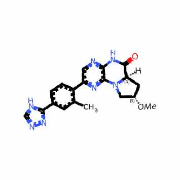 CO[C@H]1C[C@@H]2C(=O)Nc3ncc(-c4ccc(-c5nnc[nH]5)cc4C)nc3N2C1